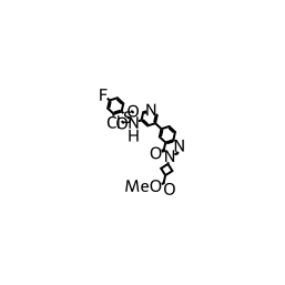 COC(=O)C1CC(n2cnc3ccc(-c4cncc(NS(=O)(=O)c5ccc(F)cc5Cl)c4)cc3c2=O)C1